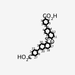 O=C(O)c1ccc(-c2ccc3c4c(ccc3c2)Oc2ccc3cc(-c5ccc(C(=O)O)cc5)ccc3c2S4)cc1